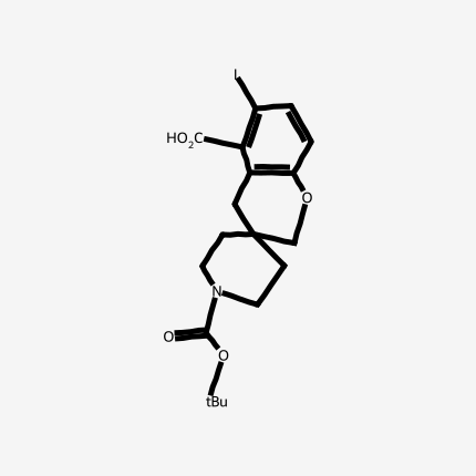 CC(C)(C)OC(=O)N1CCC2(CC1)COc1ccc(I)c(C(=O)O)c1C2